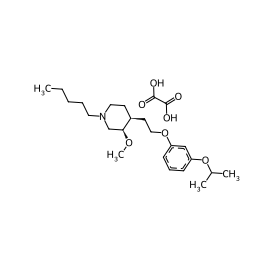 CCCCCN1CC[C@@H](CCOc2cccc(OC(C)C)c2)[C@@H](OC)C1.O=C(O)C(=O)O